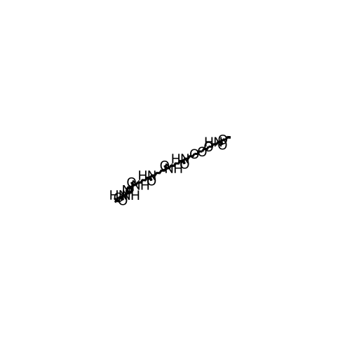 C=CCOC(=O)NCCCOCCOCCOCCCNC(=O)CCCCCNC(=O)CCCCCNC(=O)CCCCCNC(=O)c1ccc(NNC(=O)OC(C)(C)C)nc1